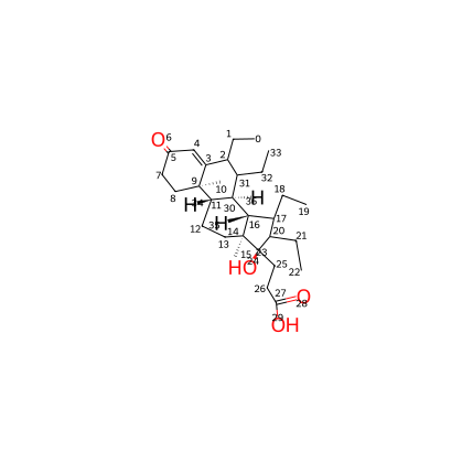 CCC1C2=CC(=O)CC[C@]2(C)[C@H]2CC[C@@]3(C)[C@@H](C(CC)C(CC)[C@]3(O)CCC(=O)O)[C@@H]2C1CC